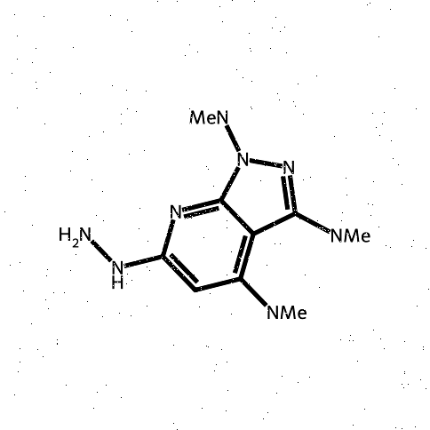 CNc1cc(NN)nc2c1c(NC)nn2NC